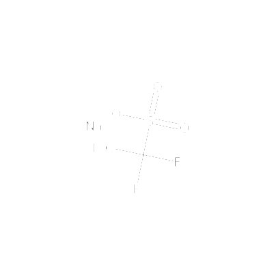 O=S(=O)([O-])C(F)(F)C(F)(F)F.[Na+]